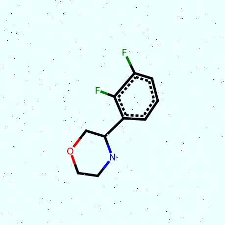 Fc1cccc(C2COCC[N]2)c1F